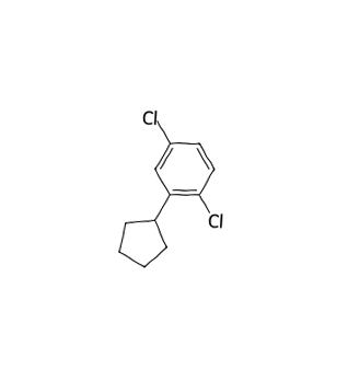 Clc1ccc(Cl)c(C2CCCC2)c1